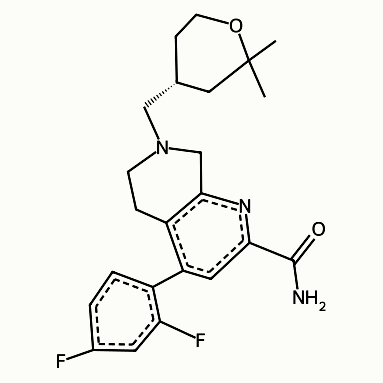 CC1(C)C[C@H](CN2CCc3c(-c4ccc(F)cc4F)cc(C(N)=O)nc3C2)CCO1